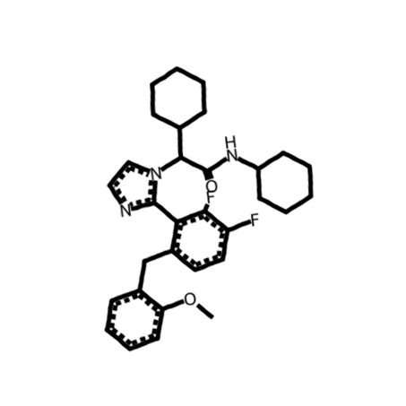 COc1ccccc1Cc1ccc(F)c(F)c1-c1nccn1C(C(=O)NC1CCCCC1)C1CCCCC1